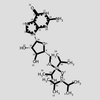 CC(C)[SiH](O[Si](OC[C@H]1O[C@@H](n2cnc3c(=O)[nH]c(N)nc32)[C@@H](O)C1O)(C(C)C)C(C)C)C(C)C